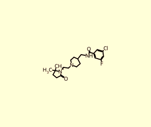 CC1(C)CCC(=O)N1CCN1CCC(CNC(=O)c2cc(F)cc(Cl)c2)CC1